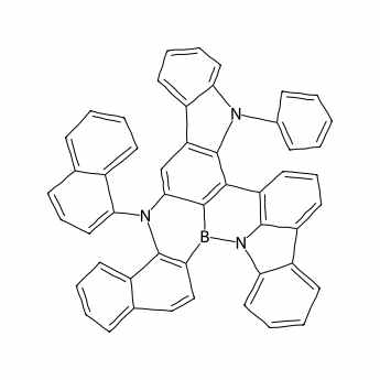 c1ccc(-n2c3ccccc3c3cc4c5c(c32)-c2cccc3c6ccccc6n(c23)B5c2ccc3ccccc3c2N4c2cccc3ccccc23)cc1